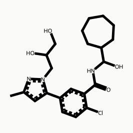 Cc1cc(-c2ccc(Cl)c(C(=O)NC(O)C3CCCCCC3)c2)n(CC(O)CO)n1